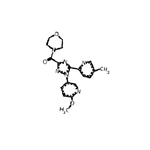 COc1ccc(-n2nc(C(=O)N3CCOCC3)nc2-c2ccc(C)cn2)cn1